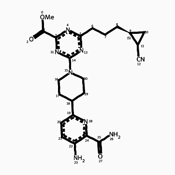 COC(=O)c1nc(CCC[C@H]2CC2C#N)nc(N2CCC(c3ccc(N)c(C(N)=O)n3)CC2)n1